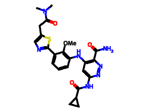 COc1c(Nc2cc(NC(=O)C3CC3)nnc2C(N)=O)cccc1-c1ncc(CC(=O)N(C)C)s1